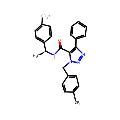 C[C@H](NC(=O)c1c(-c2ccccc2)nnn1Cc1ccc(C(F)(F)F)cc1)c1ccc(C(=O)O)cc1